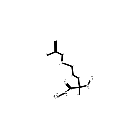 C=C(C)COCCCC(C)(OCC)C(=O)O[SiH3]